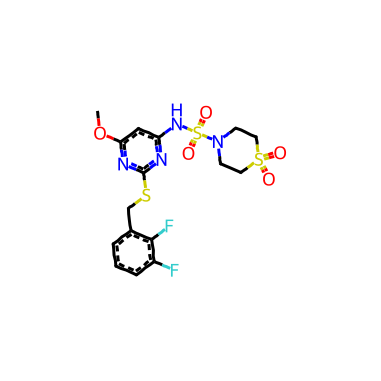 COc1cc(NS(=O)(=O)N2CCS(=O)(=O)CC2)nc(SCc2cccc(F)c2F)n1